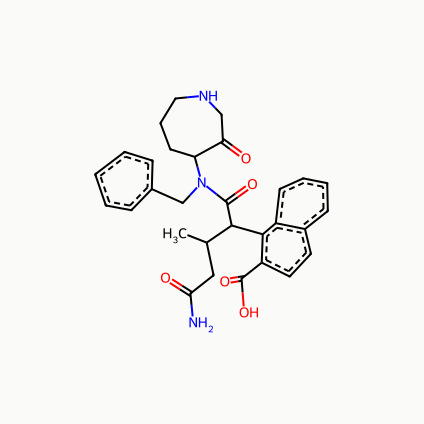 CC(CC(N)=O)C(C(=O)N(Cc1ccccc1)C1CCCNCC1=O)c1c(C(=O)O)ccc2ccccc12